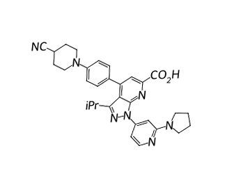 CC(C)c1nn(-c2ccnc(N3CCCC3)c2)c2nc(C(=O)O)cc(-c3ccc(N4CCC(C#N)CC4)cc3)c12